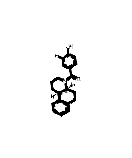 O=C(c1ccc(O)c(F)c1)N1CCC[C@@H]2c3ccccc3CC[C@@H]21